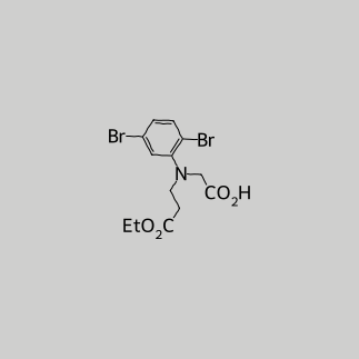 CCOC(=O)CCN(CC(=O)O)c1cc(Br)ccc1Br